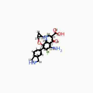 COc1c(-c2ccc3c(c2)CNC3)c(F)c(N)c2c(=O)c(C(=O)O)cn(C3CC3)c12